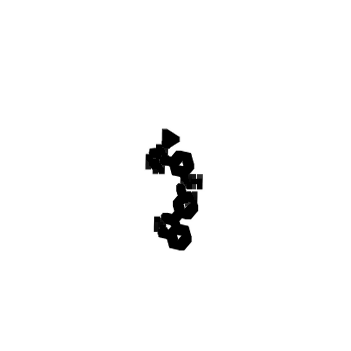 c1cc(NCc2cc(-c3cncc4ccccc34)ccn2)cc(-c2nncn2C2CC2)c1